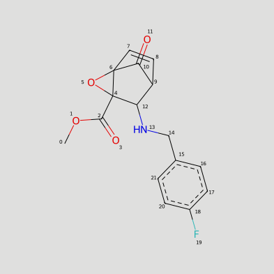 COC(=O)C12OC13C=CC(C3=O)C2NCc1ccc(F)cc1